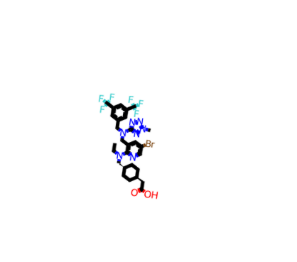 CCN(C[C@H]1CC[C@H](CC(=O)O)CC1)c1ncc(Br)cc1CN(Cc1cc(C(F)(F)F)cc(C(F)(F)F)c1)c1nnn(C)n1